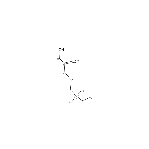 CC[N+](C)(C)CCCC(=O)CO